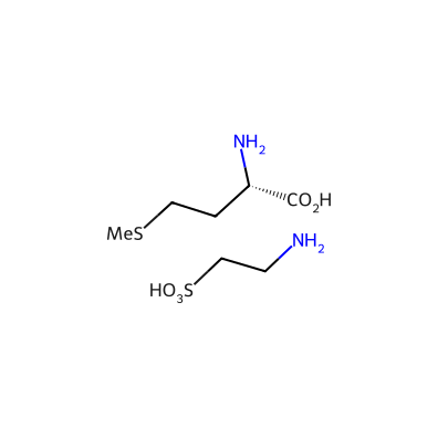 CSCC[C@H](N)C(=O)O.NCCS(=O)(=O)O